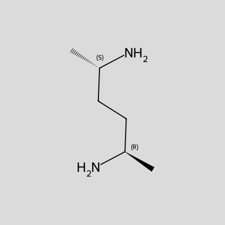 C[C@H](N)CC[C@@H](C)N